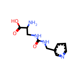 NC(CNC(=O)NCc1cccnc1)C(=O)O